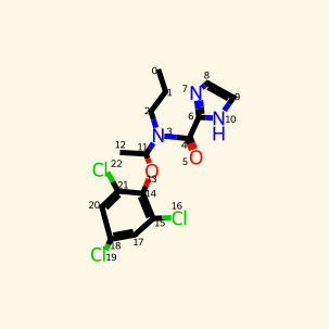 CCCN(C(=O)c1ncc[nH]1)C(C)Oc1c(Cl)cc(Cl)cc1Cl